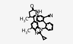 Cc1cc(C2=NNC(=O)CC2C)cc2c1nc(C1CC1)n2-c1ccccc1-c1ccccc1C#N